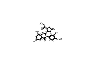 COc1ccc(-n2c([C@H]3CC(=O)CN3C(=O)OC(C)(C)C)nc3c(Br)cc(C#N)cc3c2=O)cc1F